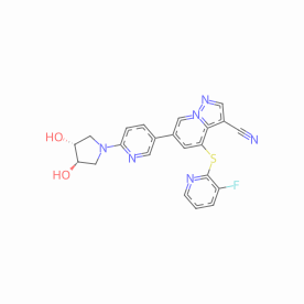 N#Cc1cnn2cc(-c3ccc(N4C[C@@H](O)[C@H](O)C4)nc3)cc(Sc3ncccc3F)c12